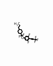 CCCC1CCC(C(F)(F)Oc2cc(F)c(C#CC(F)(F)F)c(F)c2)CC1